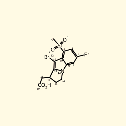 CS(=O)(=O)c1cc(F)cc2c1c(Br)c1n2CCC1CC(=O)O